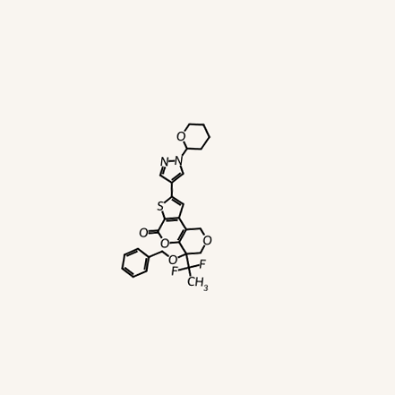 CC(F)(F)C1(OCc2ccccc2)COCc2c1oc(=O)c1sc(-c3cnn(C4CCCCO4)c3)cc21